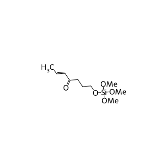 CC=CC(=O)CCCO[Si](OC)(OC)OC